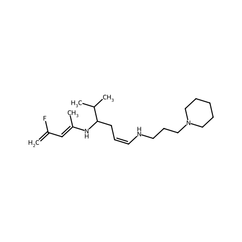 C=C(F)/C=C(\C)NC(C/C=C\NCCCN1CCCCC1)C(C)C